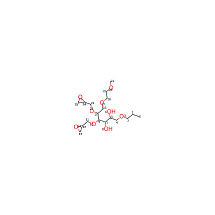 CCCOCC(O)C(O)C(OCC1CO1)C(COCCOC)OCC1CO1